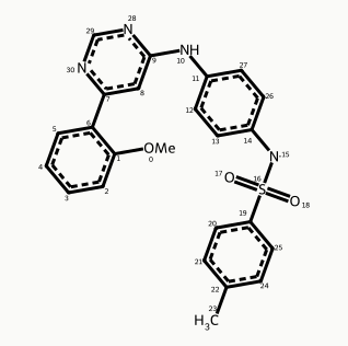 COc1ccccc1-c1cc(Nc2ccc([N]S(=O)(=O)c3ccc(C)cc3)cc2)ncn1